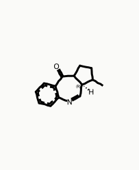 CC1CCC2C(=O)c3ccccc3N=C[C@H]12